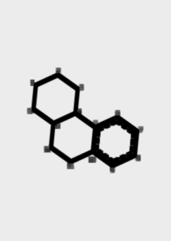 [C]1CCCC2c3ccccc3CCC12